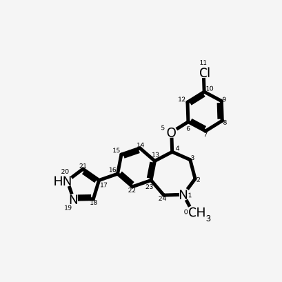 CN1CCC(Oc2cccc(Cl)c2)c2ccc(-c3cn[nH]c3)cc2C1